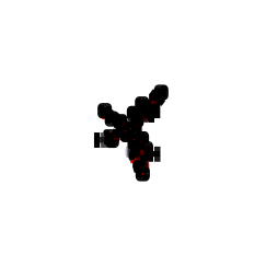 COCCOCCOCCN(C(=O)CCC[Si](C)(C)O)c1cc(COc2cc3c(cc2OC)C(=O)N2C=C(c4ccc(OC)cc4)C[C@H]2C=N3)cc(COc2cc3c(cc2OC)C(=O)N/C=C(/c2ccc(OC)cc2)CC/C=N\3)c1